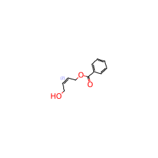 O=C(OC/C=C\CO)c1ccccc1